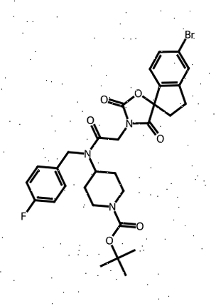 CC(C)(C)OC(=O)N1CCC(N(Cc2ccc(F)cc2)C(=O)CN2C(=O)OC3(CCc4cc(Br)ccc43)C2=O)CC1